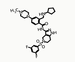 CN1CCN(c2ccc(C(=O)Nc3n[nH]c4c3CN(S(=O)(=O)c3cc(F)cc(F)c3)CC4)c(CNC3CCCC3)c2)CC1